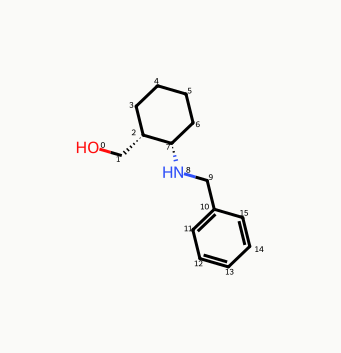 OC[C@@H]1CCCC[C@@H]1NCc1ccccc1